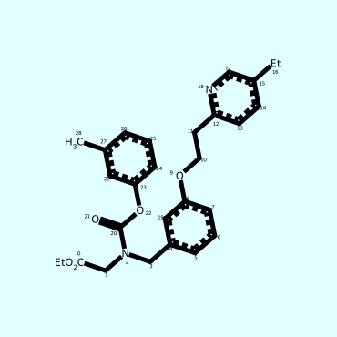 CCOC(=O)CN(Cc1cccc(OCCc2ccc(CC)cn2)c1)C(=O)Oc1cccc(C)c1